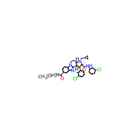 CN(O)C(=O)c1ccc2c(c1)nc1n2CC[C@H]2[C@@H]1[C@H](c1cccc(Cl)c1F)[C@](C)(C(=O)Nc1cccc(Cl)c1)N2CC1CC1